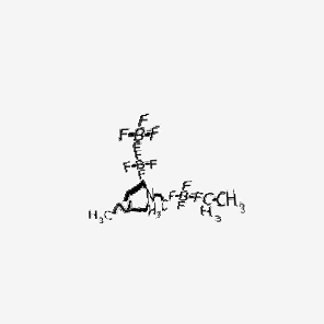 CC.CCN1C=CN(C)C1.F[B-](F)(F)F.F[B-](F)(F)F.F[B-](F)(F)F